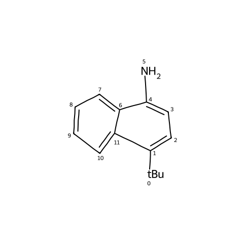 CC(C)(C)c1ccc(N)c2ccccc12